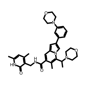 Cc1cc(C)c(CNC(=O)c2cc3cc(-c4cccc(N5CCOCC5)c4)cn3c(C(C)N3CCOCC3)c2C)c(=O)[nH]1